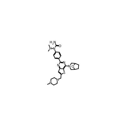 CN1CCN(Cc2cc3nc(-c4ccc(N(C(N)=O)N(C)C)cc4)nc(N4CC5CCC(C4)O5)c3s2)CC1